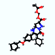 CC(C)(C)C(=O)OCOC(=O)c1cc2[nH]c(-c3ccc(OCc4ccccc4)cc3)c(C3CCCCC3)c(=O)n2n1